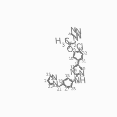 C[C@@H](Cn1cnnn1)Oc1cc(-c2cnc(Nc3ccc(Cn4cccn4)cc3)nc2)ccc1Cl